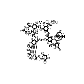 C=C1C[C@H]2[C@H](O)N(C(=O)OCc3ccc(NC(=O)[C@H](C)NC(=O)[C@@H](NC(=O)CCN4C(=O)C=CC4=O)C(C)C)cc3)c3cc(OCc4cc(COc5cc6c(cc5OC)C(=O)N5CC(=C)C[C@H]5[C@H](OC5CCCCO5)N6C(=O)O)cc(C(=O)OC(C)(C)C)c4)c(OC)cc3C(=O)N2C1